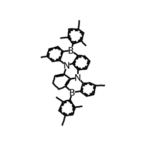 Cc1cc(C)c(B2C3=C4C(=CCC3)N3c5cc(C)ccc5B(c5c(C)cc(C)cc5C)c5cccc(c53)N4c3cc(C)ccc32)c(C)c1